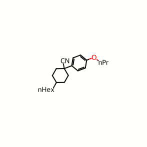 CCCCCCC1CCC(C#N)(c2ccc(OCCC)cc2)CC1